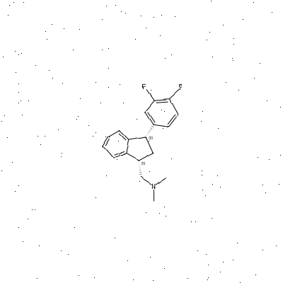 CN(C)C[C@H]1C[C@@H](c2ccc(F)c(F)c2)c2ccccc21